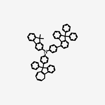 CC1(C)c2ccccc2-c2ccc(N(c3ccc(-c4cccc5c4-c4ccccc4C5(c4ccccc4)c4ccccc4)cc3)c3ccc(C4(c5ccccc5)C5=C(CC=CC=C5)c5ccccc54)cc3)cc21